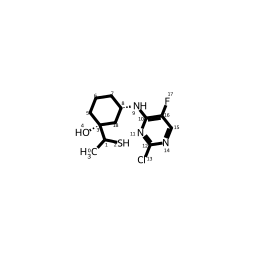 CC(S)[C@@]1(O)CCC[C@H](Nc2nc(Cl)ncc2F)C1